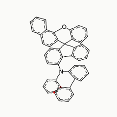 c1ccc(-c2ccccc2N(c2ccccc2)c2cccc3c2-c2ccccc2C32c3ccccc3Oc3c2ccc2ccccc32)cc1